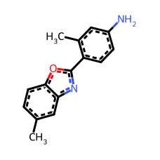 Cc1ccc2oc(-c3ccc(N)cc3C)nc2c1